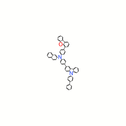 c1ccc(-c2ccc(-n3c4ccccc4c4cc(-c5ccc(N(c6ccc(-c7cccc8c7oc7ccccc78)cc6)c6ccc7ccccc7c6)cc5)ccc43)cc2)cc1